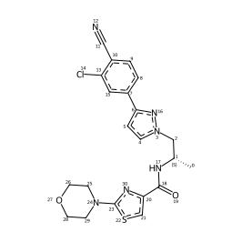 C[C@@H](Cn1ccc(-c2ccc(C#N)c(Cl)c2)n1)NC(=O)c1csc(N2CCOCC2)n1